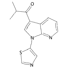 CC(C)C(=O)c1cn(-c2cncs2)c2ncccc12